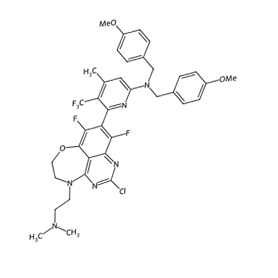 COc1ccc(CN(Cc2ccc(OC)cc2)c2cc(C)c(C(F)(F)F)c(-c3c(F)c4c5c(nc(Cl)nc5c3F)N(CCN(C)C)CCO4)n2)cc1